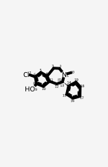 CN1CCc2cc(Cl)c(O)cc2C[C@H]1c1ccccc1